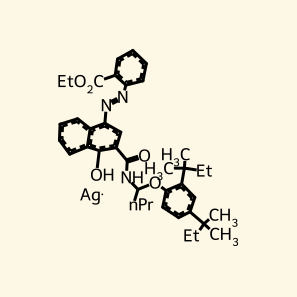 CCCC(NC(=O)c1cc(N=Nc2ccccc2C(=O)OCC)c2ccccc2c1O)Oc1ccc(C(C)(C)CC)cc1C(C)(C)CC.[Ag]